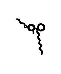 CCCCCCCCCC1(c2ccc(OCCCC)cc2C)CCCCC1